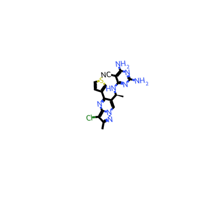 Cc1nn2cc([C@H](C)Nc3nc(N)nc(N)c3C#N)c(-c3ccsc3)nc2c1Cl